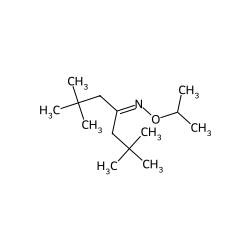 CC(C)ON=C(CC(C)(C)C)CC(C)(C)C